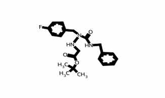 CC(C)(C)OC(=O)CNN(Cc1ccc(F)cc1)C(=O)NCc1ccccc1